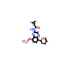 COc1ccc(C2CCC=CO2)c2ncc(NC(=O)C3CC3)nc12